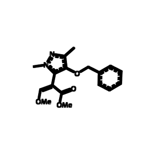 CO/C=C(\C(=O)OC)c1c(OCc2ccccc2)c(C)nn1C